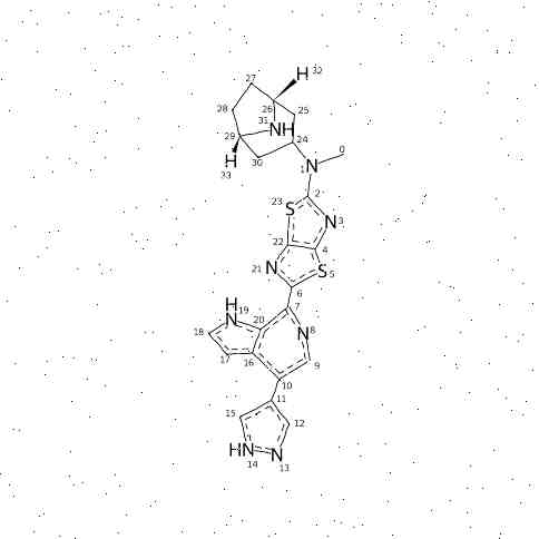 CN(c1nc2sc(-c3ncc(-c4cn[nH]c4)c4cc[nH]c34)nc2s1)C1C[C@H]2CC[C@@H](C1)N2